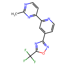 Cc1nccc(-c2cc(-c3noc(C(F)(F)F)n3)ccn2)n1